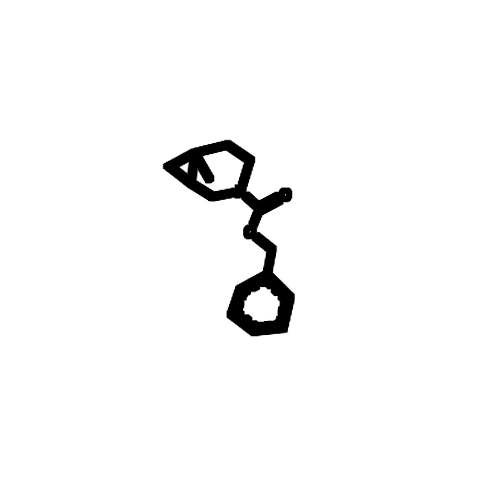 CC12CCN(C(=O)OCc3ccccc3)CC1C2